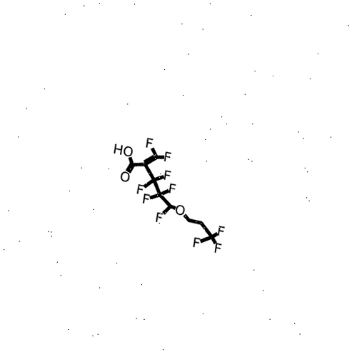 O=C(O)C(=C(F)F)C(F)(F)C(F)(F)C(F)OCCC(F)(F)F